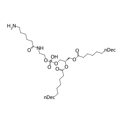 CCCCCCCCCCCCCCCC(=O)OC[C@H](COP(=O)(O)OCCNC(=O)CCCCCN)OC(=O)CCCCCCCCCCCCCCC